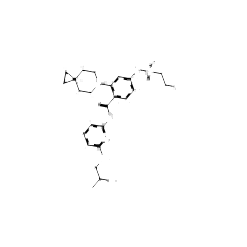 CC(O)COc1cccc(NC(=O)c2ccc(NS(=O)(=O)CCO)cc2N2CCC3(CC2)CC3)n1